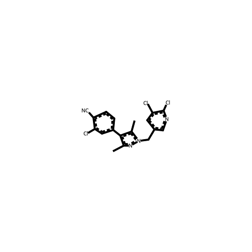 Cc1nn(Cc2cnc(Cl)c(Cl)c2)c(C)c1-c1ccc(C#N)c(Cl)c1